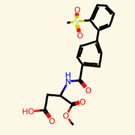 COC(=O)C(CC(=O)O)NC(=O)c1ccc(-c2ccccc2S(C)(=O)=O)cc1